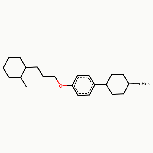 CCCCCCC1CCC(c2ccc(OCCCC3CCCCC3C)cc2)CC1